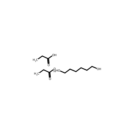 CCC(=O)O.CCC(=O)O.OCCCCCCO